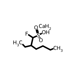 CCCCC(CC)C(F)S(=O)(=O)O.[CaH2]